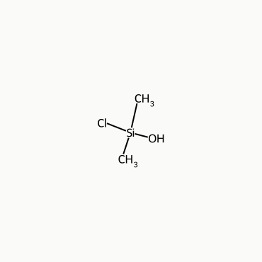 C[Si](C)(O)Cl